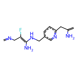 C=NC/C(F)=C(\N)NCc1ccc(CC(=C)N)nc1